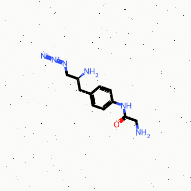 [N-]=[N+]=NC[C@@H](N)Cc1ccc(NC(=O)CN)cc1